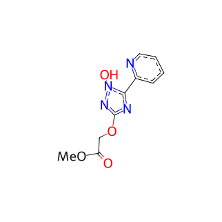 COC(=O)COc1nc(-c2ccccn2)n(O)n1